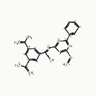 C=Nc1nc(/N=C(\C)c2cc(C(=C)C)cc(C(=C)C)c2)nc(-c2ccccc2)n1